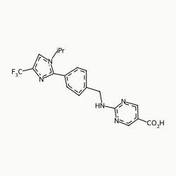 CC(C)n1cc(C(F)(F)F)nc1-c1ccc(CNc2ncc(C(=O)O)cn2)cc1